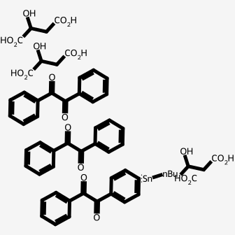 CCC[CH2][Sn].O=C(C(=O)c1ccccc1)c1ccccc1.O=C(C(=O)c1ccccc1)c1ccccc1.O=C(C(=O)c1ccccc1)c1ccccc1.O=C(O)CC(O)C(=O)O.O=C(O)CC(O)C(=O)O.O=C(O)CC(O)C(=O)O